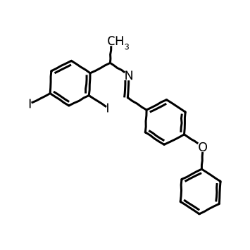 CC(/N=C/c1ccc(Oc2ccccc2)cc1)c1ccc(I)cc1I